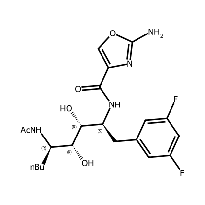 CCCC[C@@H](NC(C)=O)[C@@H](O)[C@H](O)[C@H](Cc1cc(F)cc(F)c1)NC(=O)c1coc(N)n1